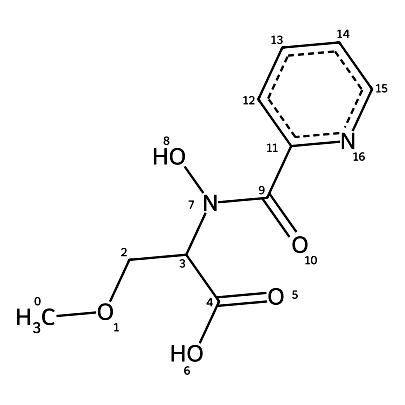 COCC(C(=O)O)N(O)C(=O)c1ccccn1